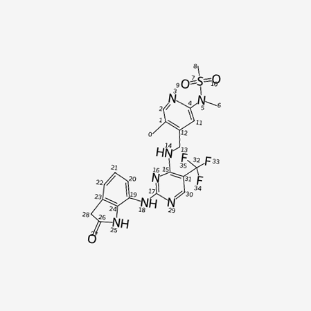 Cc1cnc(N(C)S(C)(=O)=O)cc1CNc1nc(Nc2cccc3c2NC(=O)C3)ncc1C(F)(F)F